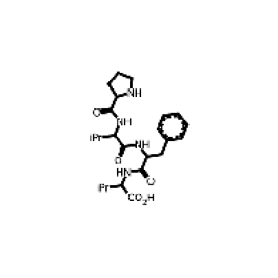 CC(C)C(NC(=O)C(Cc1ccccc1)NC(=O)C(NC(=O)C1CCCN1)C(C)C)C(=O)O